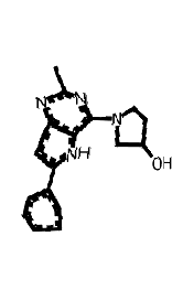 Cc1nc(N2CCC(O)C2)c2[nH]c(-c3ccccc3)cc2n1